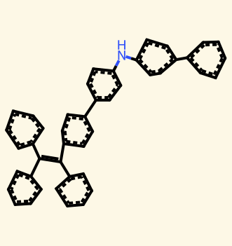 c1ccc(C(=C(c2ccccc2)c2ccc(-c3ccc(Nc4ccc(-c5ccccc5)cc4)cc3)cc2)c2ccccc2)cc1